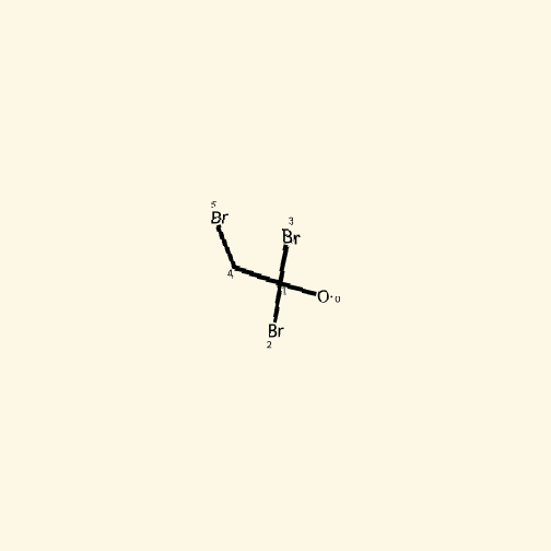 [O]C(Br)(Br)CBr